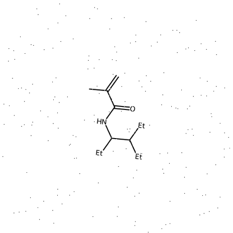 C=C(C)C(=O)NC(CC)[C](CC)CC